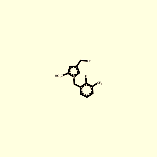 CC(C)Cc1cc(C(=O)O)n(Cc2cccc(C(F)(F)F)c2F)c1